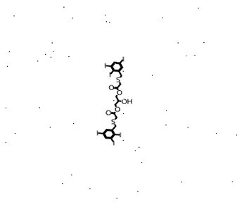 O=C(CSCc1cc(I)cc(I)c1I)OCC(O)COC(=O)CSCc1cc(I)cc(I)c1I